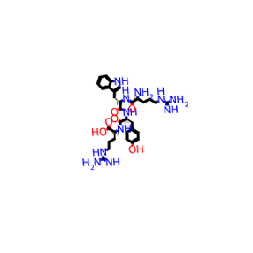 N=C(N)NCCC[C@H](NC(=O)[C@H](Cc1ccc(O)cc1)NC(=O)[C@H](Cc1c[nH]c2ccccc12)NC(=O)[C@@H](N)CCCNC(=N)N)C(=O)O